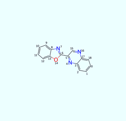 c1ccc2nc(-c3nc4ccccc4o3)cnc2c1